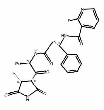 CC(C)[C@@H](NC(=O)C[C@H](NC(=O)c1cccnc1F)c1ccccc1)C(=O)[C@@H]1C(=O)NC(=O)[C@@H]1C